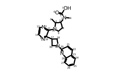 CC1C(N(C)C(=O)O)CCN1c1nccnc1C1CN(c2ccc3ccccc3n2)C1